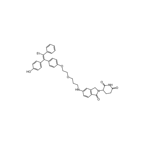 CC/C(=C(\c1ccc(O)cc1)c1ccc(OCCOCCCNc2ccc3c(c2)CN(C2CCC(=O)NC2=O)C3=O)cc1)c1ccccc1